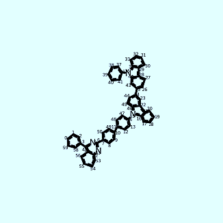 c1ccc(-c2nc(-c3ccc(-c4ccc(-n5c6ccccc6c6cc(-c7ccc8c9ccccc9n(-c9ccccc9)c8c7)ccc65)cc4)cc3)nc3ccccc23)cc1